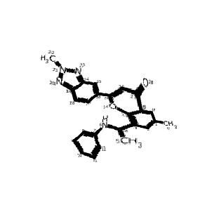 Cc1cc(C(C)Nc2ccccc2)c2oc(-c3ccc4nn(C)nc4c3)cc(=O)c2c1